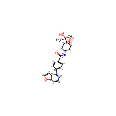 CC(C)(O)[C@]1(O)CC[C@@H](NC(=O)c2ccc(-c3nccc4occc34)cc2)CC1